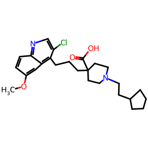 COc1ccc2ncc(Cl)c(CCCC3(C(=O)O)CCN(CCC4CCCC4)CC3)c2c1